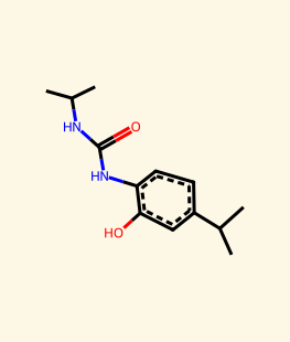 CC(C)NC(=O)Nc1ccc(C(C)C)cc1O